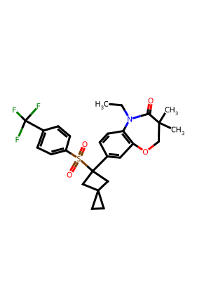 CCN1C(=O)C(C)(C)COc2cc(C3(S(=O)(=O)c4ccc(C(F)(F)F)cc4)CC4(CC4)C3)ccc21